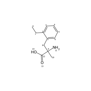 CCc1ccccc1CC(C)(N)C(=O)O